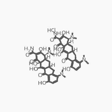 CN(C)c1ccc(O)c2c1C[C@H]1C[C@H]3[C@H](N(C)C)C(O)=C(C(N)=O)C(=O)[C@@]3(O)C(O)=C1C2=O.CN(C)c1ccc(O)c2c1C[C@H]1C[C@H]3[C@H](N(C)C)C(O)=C(C(N)=O)C(=O)[C@@]3(O)C(O)=C1C2=O.Cl